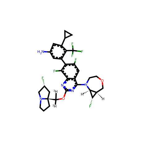 [2H]C([2H])(Oc1nc(N2CCOC[C@H]3[C@H](F)[C@H]32)c2cc(F)c(-c3cc(N)cc(C4CC4)c3C(F)(F)F)c(F)c2n1)[C@@]12CCCN1C[C@H](F)C2